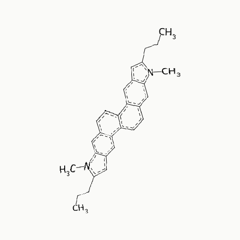 CCCc1cc2cc3c(ccc4c5cc6cc(CCC)n(C)c6cc5ccc34)cc2n1C